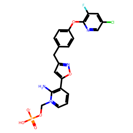 Nc1c(-c2cc(Cc3ccc(Oc4ncc(Cl)cc4F)cc3)no2)ccc[n+]1COP(=O)([O-])O